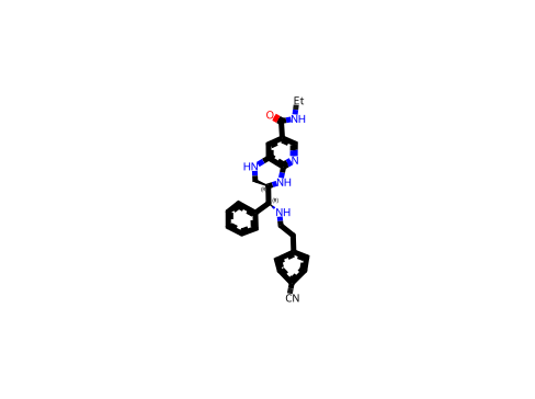 CCNC(=O)c1cnc2c(c1)NC[C@H]([C@H](NCCc1ccc(C#N)cc1)c1ccccc1)N2